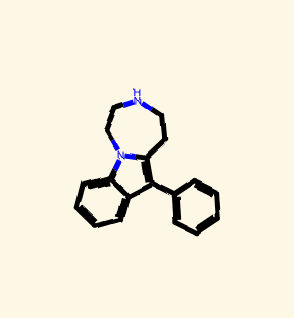 c1ccc(-c2c3n(c4ccccc24)CCNCC3)cc1